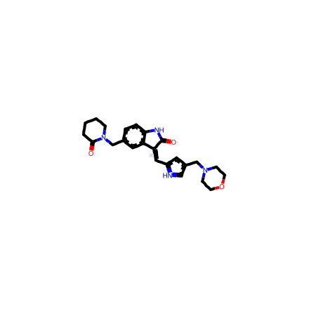 O=C1Nc2ccc(CN3CCCCC3=O)cc2/C1=C/c1cc(CN2CCOCC2)c[nH]1